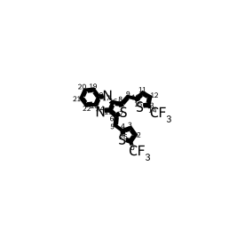 FC(F)(F)c1ccc(C=c2sc(=Cc3ccc(C(F)(F)F)s3)c3nc4ccccc4nc23)s1